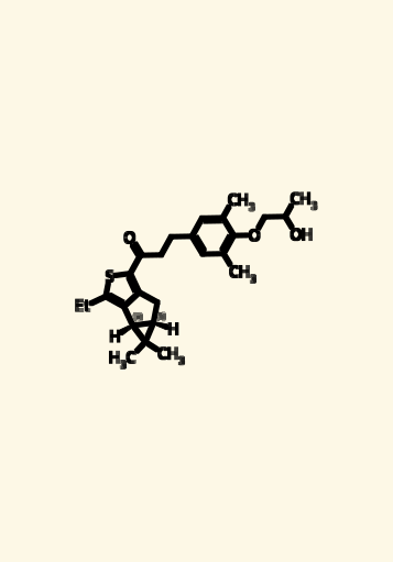 CCc1sc(C(=O)CCc2cc(C)c(OCC(C)O)c(C)c2)c2c1[C@@H]1[C@H](C2)C1(C)C